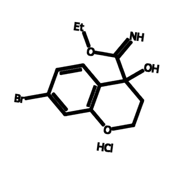 CCOC(=N)C1(O)CCOc2cc(Br)ccc21.Cl